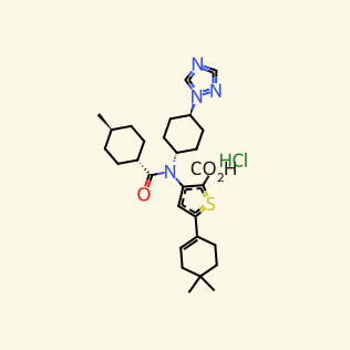 CC1(C)CC=C(c2cc(N(C(=O)[C@H]3CC[C@H](C)CC3)[C@H]3CC[C@H](n4cncn4)CC3)c(C(=O)O)s2)CC1.Cl